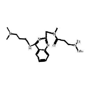 CCCCN(CC)CCC(=O)N(C)Cc1nc(NCCCN(C)C)c2ccccc2n1